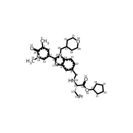 Cc1cc(-c2nc3cc(CN[C@@H](CC(C)C)C(=O)OC4CCCC4)ccc3n2CC2CCOCC2)cn(C)c1=O